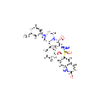 CCc1cccc(N2CCN(C(=O)C(NS(=O)(=O)c3ccc4[nH]c(=O)ccc4c3)c3ccccc3)CC2)c1